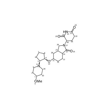 COC1CCN([C@H]2CCC[C@H]2OC2CCC3C(=O)N(C4CCC(=O)NC4=O)CC3C2)CC1